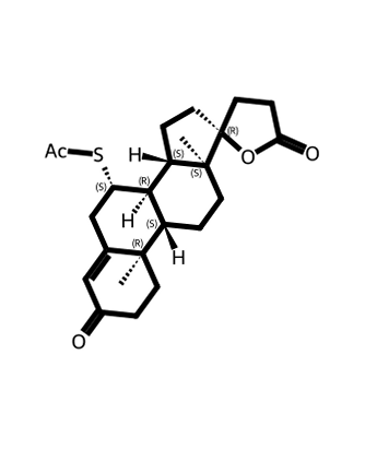 CC(=O)S[C@H]1CC2=CC(=O)CC[C@]2(C)[C@H]2CC[C@@]3(C)[C@@H](CC[C@@]34CCC(=O)O4)[C@H]12